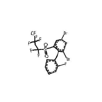 O=S(=O)(c1cc(Br)[c]c(Br)c1-c1ccccc1F)C(F)(F)C(F)(F)C(F)(F)F